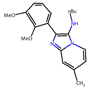 CCCCNc1c(-c2cccc(OC)c2OC)nc2cc(C)ccn12